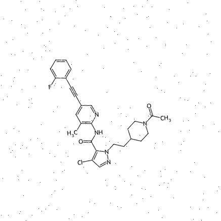 CC(=O)N1CCC(CCn2ncc(Cl)c2C(=O)Nc2ncc(C#Cc3ccccc3F)cc2C)CC1